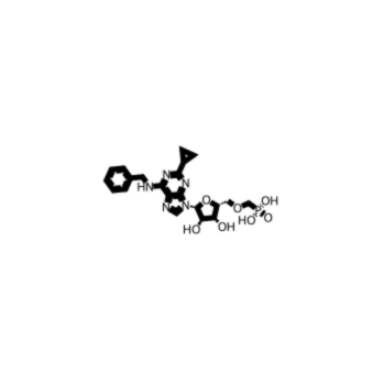 O=P(O)(O)COC[C@H]1O[C@@H](n2cnc3c(NCc4ccccc4)nc(C4CC4)nc32)[C@H](O)[C@@H]1O